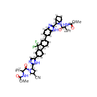 COC(=O)NC(C(=O)N1CC(C#N)CC1c1ncc(-c2ccc3c(c2)C(F)(F)c2cc(-c4ccc5nc(C6C7CCC(C7)N6C(=O)C(NC(=O)OC)C(C)C)[nH]c5c4)ccc2-3)[nH]1)C(C)C